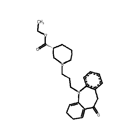 CCOC(=O)[C@@H]1CCCN(CCCN2C3=CCCC=C3C(=O)Cc3ccccc32)C1